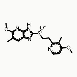 COc1ccnc(CC[S+]([O-])c2nc3cc(C)c(OC)nc3[nH]2)c1C